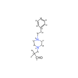 CC(C)(C=O)CN1CCN(CCc2ccccc2)CC1